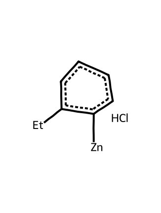 CCc1cccc[c]1[Zn].Cl